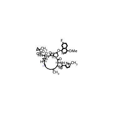 CC[C@@H]1C[C@H](C)CC/C=C\[C@@H]2C[C@@]2(C(=O)NS(=O)(=O)C2(C)CC2)NC(=O)[C@@H]2C[C@@H](Oc3ncc(OC)c4ccc(F)cc34)CN2C(=O)[C@H]1NC(=O)c1ccn(C)n1